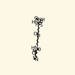 O=C1N[C@H]2[C@H](CS[C@H]2CCCCC(=O)OCCCCCCNC(=O)c2cc(-c3cncs3)on2)N1